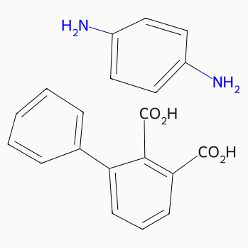 Nc1ccc(N)cc1.O=C(O)c1cccc(-c2ccccc2)c1C(=O)O